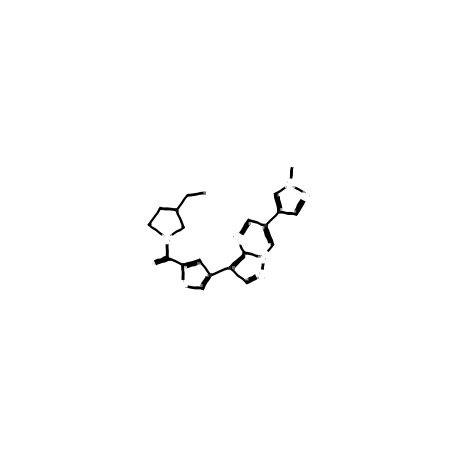 Cn1cc(-c2cnc3c(-c4csc(C(=O)N5CCC(CF)C5)c4)cnn3c2)cn1